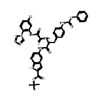 CC(C)(C)OC(=O)c1cc2cc(NC(=O)C(Cc3ccc(NC(=O)Oc4ccccc4)cc3)NC(=O)C(=O)Nc3cc(Cl)ccc3-n3cnnn3)ccc2[nH]1